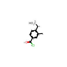 Cc1cc(C(=O)Cl)ccc1CC(=O)O